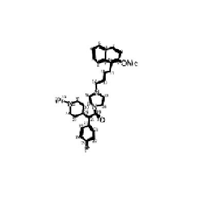 COc1ccc2ccccc2c1CCCCN1CCN(C(=O)C(c2ccc(F)cc2)C2CCN(C(C)C)CC2)CC1